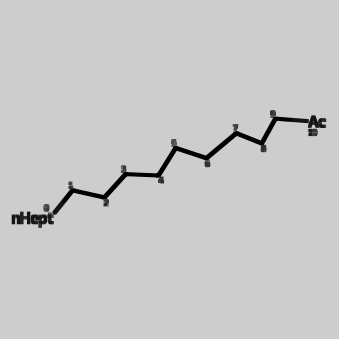 CCCCCCCCCCCCCCCCC(C)=O